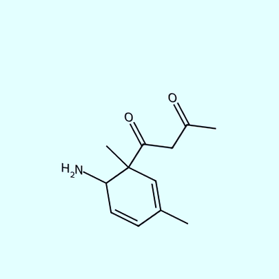 CC(=O)CC(=O)C1(C)C=C(C)C=CC1N